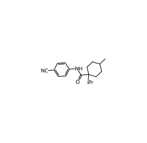 CC1CCC(C(=O)Nc2ccc(C#N)cc2)(C(C)C)CC1